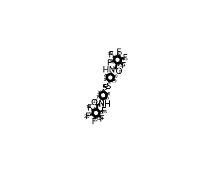 O=C(Nc1ccc(SSc2ccc(NC(=O)c3c(F)c(F)c(F)c(F)c3F)cc2)cc1)c1c(F)c(F)c(F)c(F)c1F